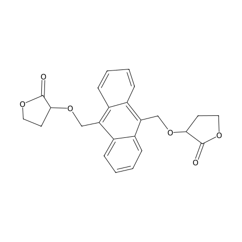 O=C1OCCC1OCc1c2ccccc2c(COC2CCOC2=O)c2ccccc12